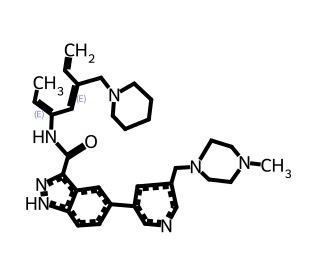 C=C/C(=C\C(=C/C)NC(=O)c1n[nH]c2ccc(-c3cncc(CN4CCN(C)CC4)c3)cc12)CN1CCCCC1